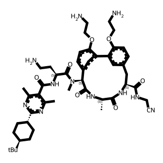 Cc1nc([C@H]2CC[C@H](C(C)(C)C)CC2)nc(C)c1C(=O)N[C@@H](CCN)C(=O)N(C)[C@@H]1C(=O)N[C@@H](C)C(=O)N[C@H](C(=O)NCC#N)Cc2ccc(OCCN)c(c2)-c2cc1ccc2OCCN